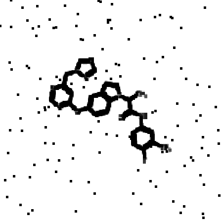 CC(C(=O)Nc1ccc(F)c(C(F)(F)F)c1)n1ccc2cc(Oc3cc(Cn4cncn4)ncn3)ccc21